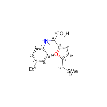 CCc1ccc(NC(C(=O)O)c2ccc(CSC)o2)cc1